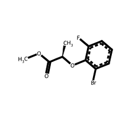 COC(=O)[C@@H](C)Oc1c(F)cccc1Br